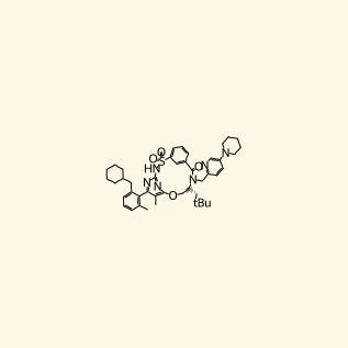 Cc1cccc(CC2CCCCC2)c1-c1nc2nc(c1C)OC[C@@H](CC(C)(C)C)N(Cc1ccc(N3CCCCC3)cn1)C(=O)c1cccc(c1)S(=O)(=O)N2